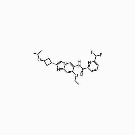 CCOc1cc2nc([C@H]3C[C@H](OC(C)C)C3)cn2cc1NC(=O)c1cccc(C(F)F)n1